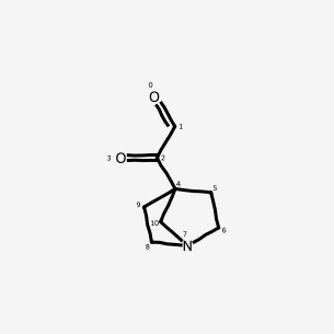 O=CC(=O)C12CCN(CC1)C2